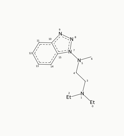 CCN(CC)CCN(C)n1nnc2ccccc21